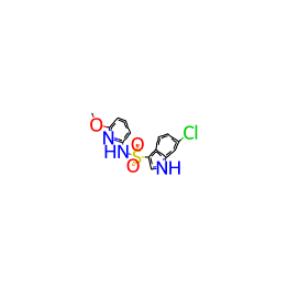 COc1cccc(NS(=O)(=O)c2c[nH]c3cc(Cl)ccc23)n1